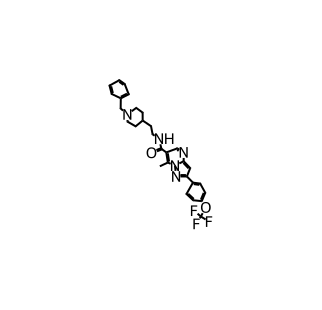 Cc1c(C(=O)NCCC2CCN(Cc3ccccc3)CC2)cnc2cc(-c3ccc(OC(F)(F)F)cc3)nn12